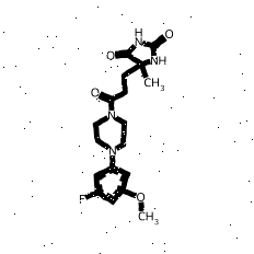 COc1cc(F)cc(N2CCN(C(=O)CCC3(C)NC(=O)NC3=O)CC2)c1